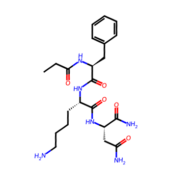 CCC(=O)N[C@@H](Cc1ccccc1)C(=O)N[C@@H](CCCCN)C(=O)N[C@@H](CC(N)=O)C(N)=O